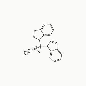 C1=CC([C]2(C3C=Cc4ccccc43)[CH2][Ti+2]2)c2ccccc21.[Cl-].[Cl-]